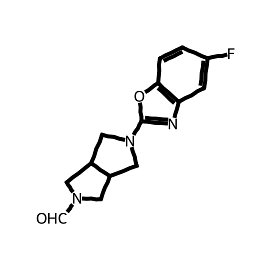 O=CN1CC2CN(c3nc4cc(F)ccc4o3)CC2C1